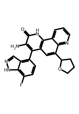 Nc1c(-c2ccc(F)c3[nH]ncc23)c2cc(C3CCCO3)c3ncccc3c2[nH]c1=O